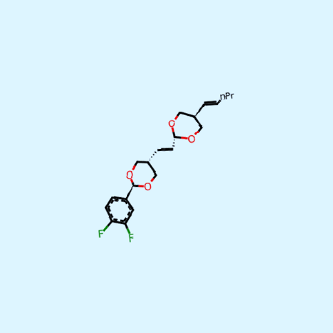 CCCC=C[C@H]1CO[C@H](CC[C@H]2CO[C@H](c3ccc(F)c(F)c3)OC2)OC1